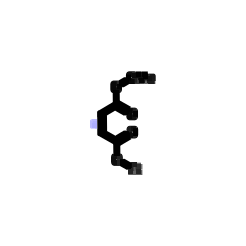 CCOC(=O)/C=C\C(=O)OOC